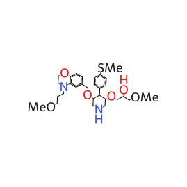 COCCCN1CCOc2ccc(CO[C@H]3CNC[C@@H](OC[C@H](O)COC)C3c3ccc(SC)cc3)cc21